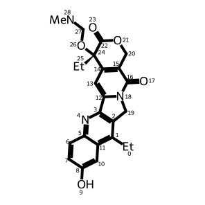 CCc1c2c(nc3ccc(O)cc13)-c1cc3c(c(=O)n1C2)COC(=O)[C@@]3(CC)OCNC